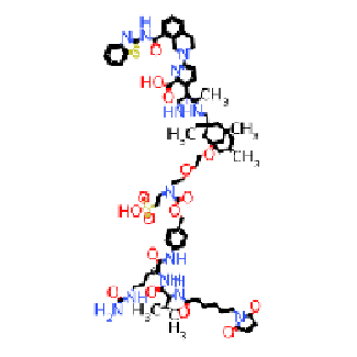 CCC1(CN/C(C)=C(\C=N)c2ccc(N3CCc4cccc(C(=O)Nc5nc6ccccc6s5)c4C3)nc2C(=O)O)CC2(C)CC(C)CC(OCCOCCN(CCS(=O)(=O)O)C(=O)OCc3ccc(NC(=O)[C@H](CCCNC(N)=O)NC(=O)C(NC(=O)CCCCCN4C(=O)C=CC4=O)C(C)C)cc3)(C2)C1